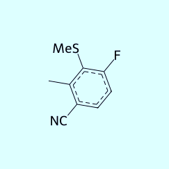 CSc1c(F)ccc(C#N)c1C